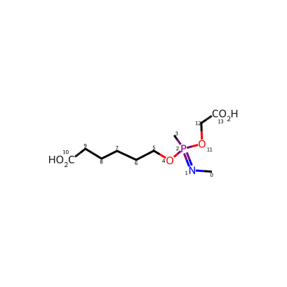 CN=P(C)(OCCCCCC(=O)O)OCC(=O)O